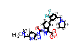 CN(C)Cc1ccc(NC(=O)n2nc(C(=O)O)c3cc(-c4cc(CN5CCCCC5)cc(F)c4F)ccc32)cn1